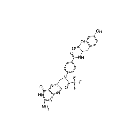 Nc1nc2ncc(CN(C(=O)C(F)(F)F)c3ccc(C(=O)N[C@@H](Cc4ccc(O)cc4)C(=O)O)cc3)nc2c(=O)[nH]1